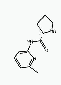 Cc1cccc(NC(=O)[C@@H]2CCCN2)n1